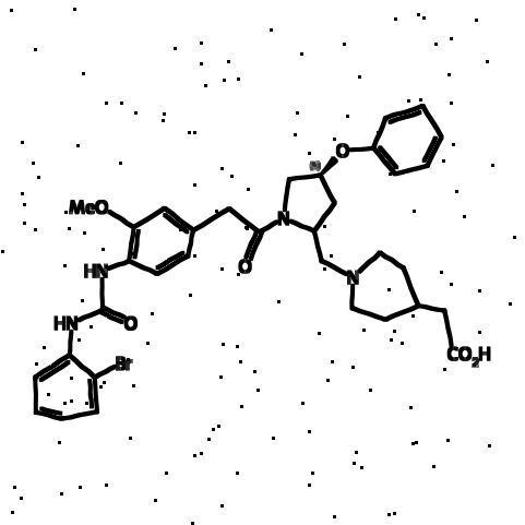 COc1cc(CC(=O)N2C[C@@H](Oc3ccccc3)CC2CN2CCC(CC(=O)O)CC2)ccc1NC(=O)Nc1ccccc1Br